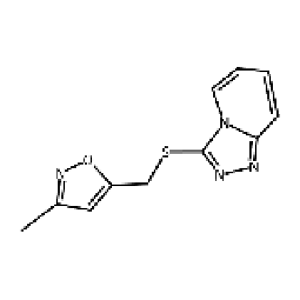 Cc1cc(CSc2nnc3ccccn23)on1